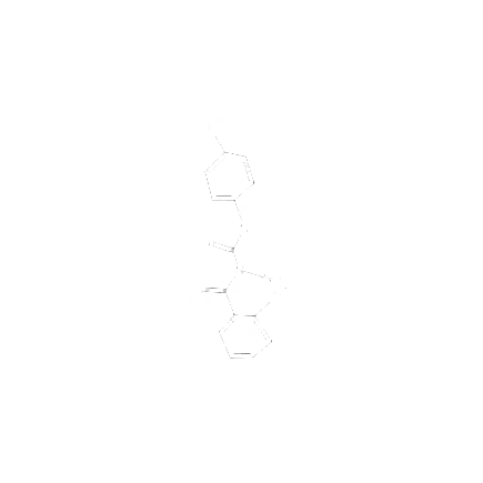 NN(C(=O)c1ccccc1Cl)C(=S)Nc1ccc(F)cc1